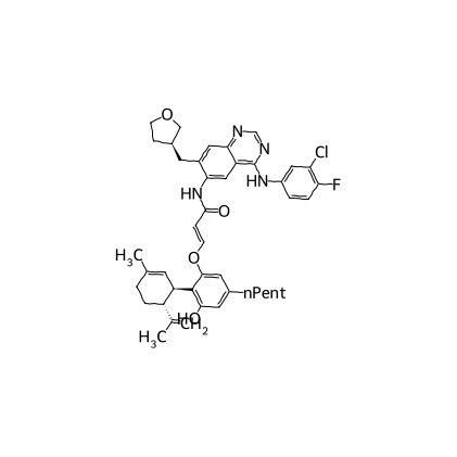 C=C(C)[C@@H]1CCC(C)=C[C@H]1c1c(O)cc(CCCCC)cc1O/C=C/C(=O)Nc1cc2c(Nc3ccc(F)c(Cl)c3)ncnc2cc1C[C@H]1CCOC1